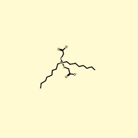 CCCCCCC[CH2][Sn]([CH2]CCCCCCC)([S]CC(=O)[O-])[S]CC(=O)[O-]